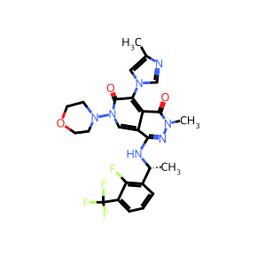 Cc1cn(-c2c(=O)n(N3CCOCC3)cc3c(N[C@H](C)c4cccc(C(F)(F)F)c4F)nn(C)c(=O)c23)cn1